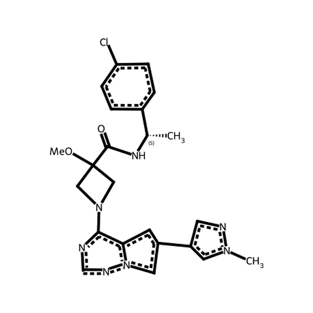 COC1(C(=O)N[C@@H](C)c2ccc(Cl)cc2)CN(c2ncnn3cc(-c4cnn(C)c4)cc23)C1